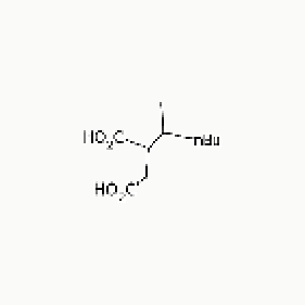 CCCCC(C)C(CC(=O)O)C(=O)O